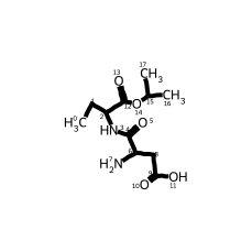 CCC(NC(=O)C(N)CC(=O)O)C(=O)OC(C)C